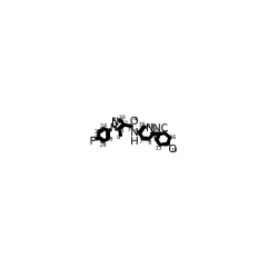 Cc1c(C(=O)Nc2ccc(C3(C#N)CCC(=O)CC3)nc2)cnn1-c1ccc(F)cc1